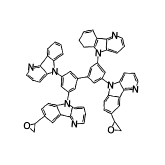 C1=Cc2c(n(-c3cc(-c4cc(-n5c6ccccc6c6ncccc65)cc(-n5c6ccc(C7CO7)cc6c6ncccc65)c4)cc(-n4c5ccc(C6CO6)cc5c5ncccc54)c3)c3cccnc23)CC1